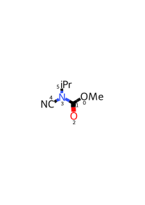 COC(=O)N(C#N)C(C)C